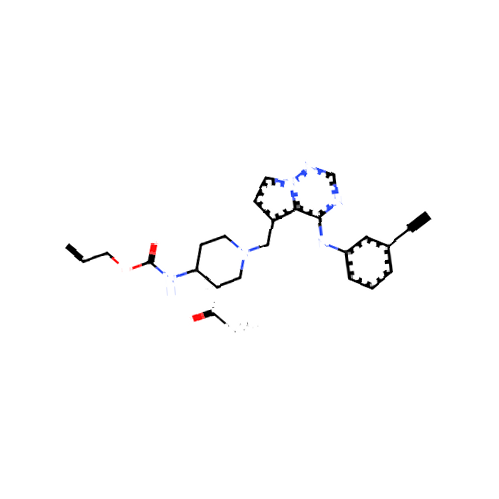 C#Cc1cccc(Nc2ncnn3ccc(CN4CCC(NC(=O)OCC=C)[C@@H](C(=O)NC)C4)c23)c1